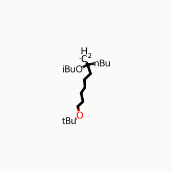 [CH2]C(CCCC)(CCCCCCOC(C)(C)C)OCC(C)C